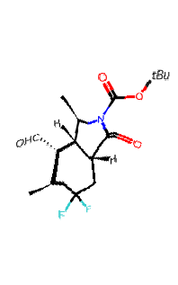 C[C@@H]1[C@H]2[C@@H](C=O)[C@H](C)C(F)(F)C[C@H]2C(=O)N1C(=O)OC(C)(C)C